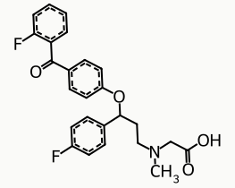 CN(CCC(Oc1ccc(C(=O)c2ccccc2F)cc1)c1ccc(F)cc1)CC(=O)O